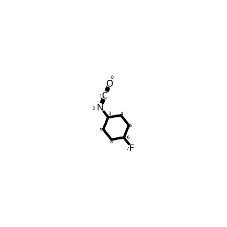 O=C=NC1CCC(F)CC1